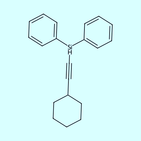 C(#C[SiH](c1ccccc1)c1ccccc1)C1CCCCC1